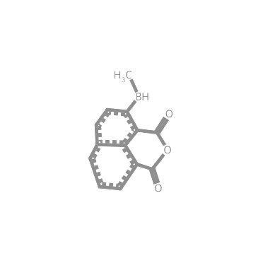 CBc1ccc2cccc3c2c1C(=O)OC3=O